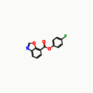 O=C(Oc1ccc(F)cc1)c1cccc2ncoc12